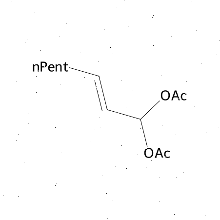 CCCCC/C=C/C(OC(C)=O)OC(C)=O